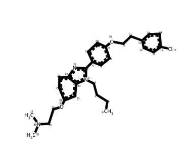 CCCCn1c(-c2ccc(OCCc3ccc(Cl)cc3)cc2)nc2ccc(OCCN(C)C)cc21